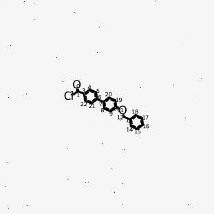 O=C(Cl)c1ccc(-c2ccc(OCc3ccccc3)cc2)cc1